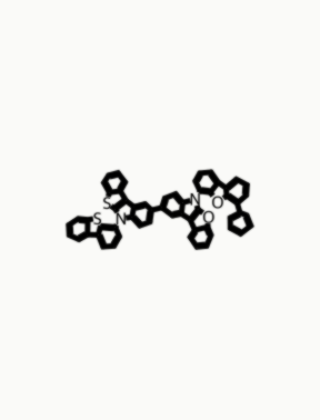 c1ccc(-c2cccc3c2oc2c(-n4c5ccc(-c6ccc7c(c6)c6c8ccccc8sc6n7-c6cccc7c6sc6ccccc67)cc5c5c6ccccc6oc54)cccc23)cc1